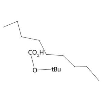 CC(C)(C)OC(=O)O.CCCCCCCCC